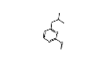 COc1nccc(CC(C)C)n1